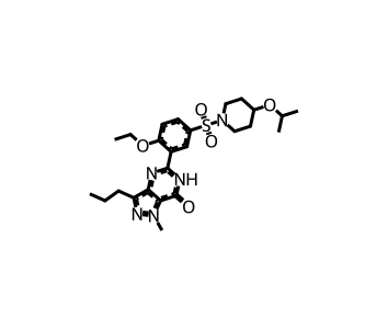 CCCc1nn(C)c2c(=O)[nH]c(-c3cc(S(=O)(=O)N4CCC(OC(C)C)CC4)ccc3OCC)nc12